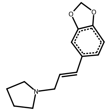 C(=Cc1ccc2c(c1)OCO2)CN1CCCC1